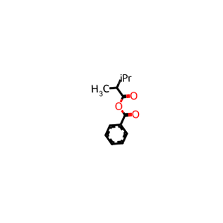 CC(C)C(C)C(=O)OC(=O)c1ccccc1